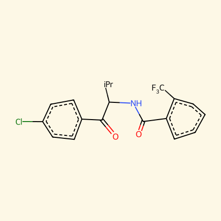 CC(C)C(NC(=O)c1ccccc1C(F)(F)F)C(=O)c1ccc(Cl)cc1